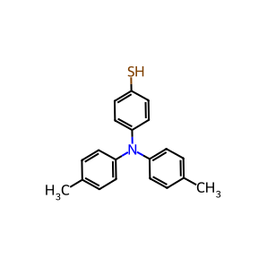 Cc1ccc(N(c2ccc(C)cc2)c2ccc(S)cc2)cc1